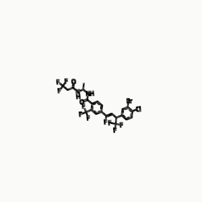 CC(NC(=O)CC(F)(F)F)NC(=O)c1ccc(/C(F)=C/C(c2ccc(Cl)c(Br)c2)C(F)(F)F)cc1C(F)(F)F